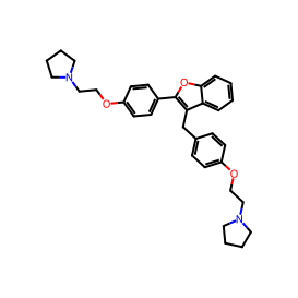 c1ccc2c(Cc3ccc(OCCN4CCCC4)cc3)c(-c3ccc(OCCN4CCCC4)cc3)oc2c1